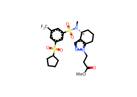 COC(=O)CCn1ncc2c1CCC[C@H]2N(C)S(=O)(=O)c1cc(C(F)(F)F)cc(S(=O)(=O)C2CCCC2)c1